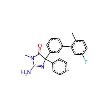 Cc1ccc(F)cc1-c1cccc(C2(c3cc[c]cc3)N=C(N)N(C)C2=O)c1